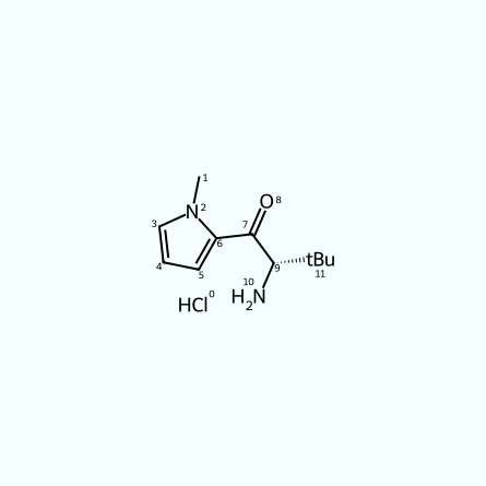 Cl.Cn1cccc1C(=O)[C@@H](N)C(C)(C)C